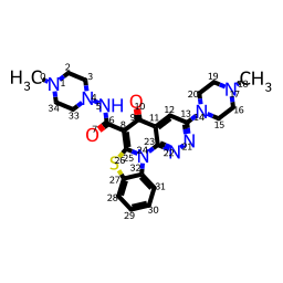 CN1CCN(NC(=O)c2c(=O)c3cc(N4CCN(C)CC4)nnc3n3c2sc2ccccc23)CC1